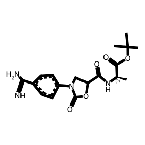 C[C@@H](NC(=O)C1CN(c2ccc(C(=N)N)cc2)C(=O)O1)C(=O)OC(C)(C)C